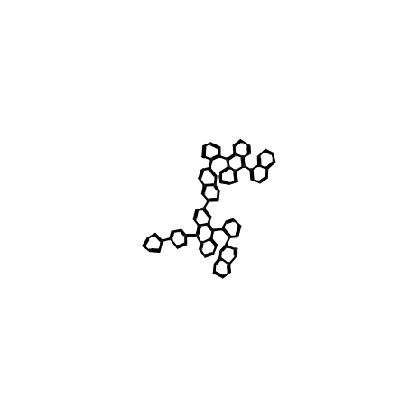 c1ccc(-c2ccc(-c3c4ccccc4c(-c4cccc5oc6cc7ccccc7cc6c45)c4cc(-c5ccc6cc7c(cc6c5)oc5cccc(-c6c8ccccc8c(-c8cccc9ccccc89)c8ccccc68)c57)ccc34)cc2)cc1